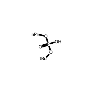 CCCOP(=O)(O)OC(C)(C)C